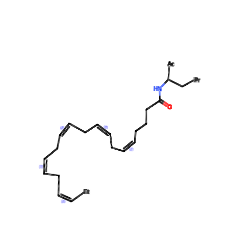 CC/C=C\C/C=C\C/C=C\C/C=C\C/C=C\CCCC(=O)NC(CC(C)C)C(C)=O